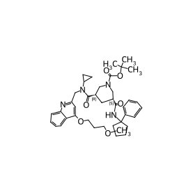 COCCCOc1cc(CN(C(=O)[C@@H]2C[C@H](C(=O)NC3(c4ccccc4)CCCC3)CN(C(=O)OC(C)(C)C)C2)C2CC2)nc2ccccc12